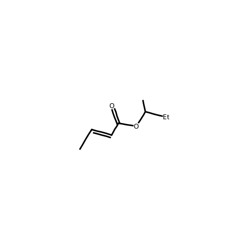 CC=CC(=O)OC(C)CC